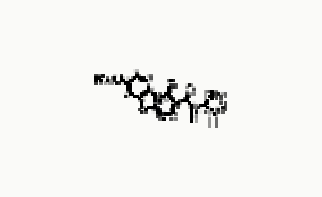 COc1ccc2c(c1)sc1ncc(C(=O)Nc3nnn[nH]3)c(=O)n12